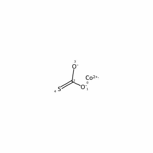 [Co+2].[O-]C([O-])=S